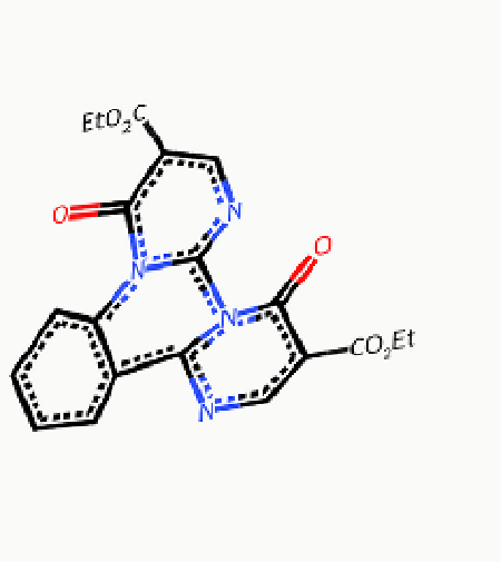 CCOC(=O)c1cnc2n(c1=O)c1ccccc1c1ncc(C(=O)OCC)c(=O)n12